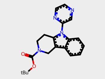 CC(C)(C)OC(=O)N1CCc2c(c3ccccc3n2-c2cnccn2)C1